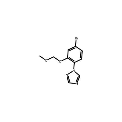 COCOc1cc(Br)ccc1-n1cncn1